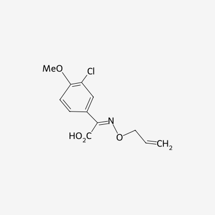 C=CCON=C(C(=O)O)c1ccc(OC)c(Cl)c1